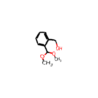 COC(OC)c1ccccc1CO